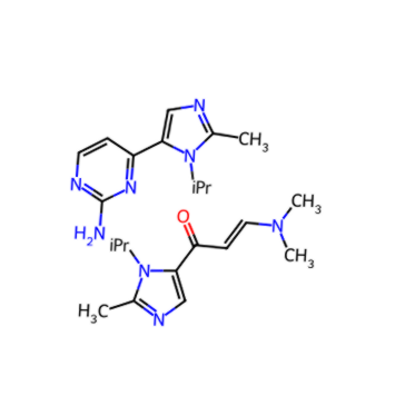 Cc1ncc(-c2ccnc(N)n2)n1C(C)C.Cc1ncc(C(=O)C=CN(C)C)n1C(C)C